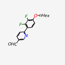 CCCCCCOc1ccc(-c2ccc(C=O)cn2)c(F)c1F